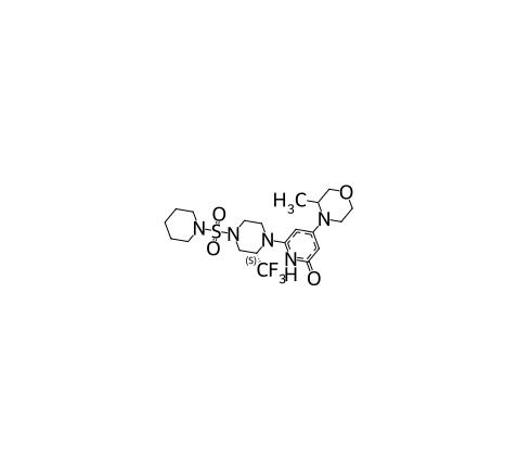 CC1COCCN1c1cc(N2CCN(S(=O)(=O)N3CCCCC3)C[C@H]2C(F)(F)F)[nH]c(=O)c1